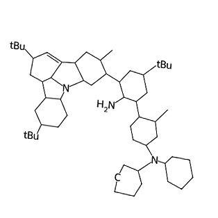 CC1CC(N(C2CCCCC2)C2CCCCC2)CCC1C1CC(C(C)(C)C)CC(C2CC3C(CC2C)C2=CC(C(C)(C)C)CC4C5CC(C(C)(C)C)CCC5N3C24)C1N